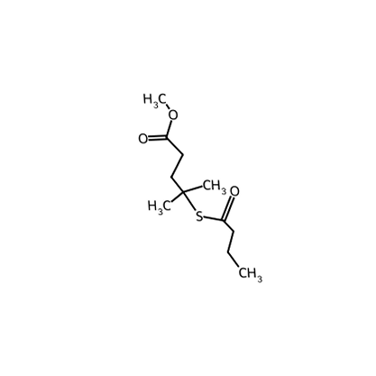 CCCC(=O)SC(C)(C)CCC(=O)OC